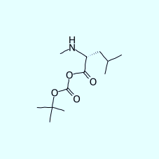 CN[C@H](CC(C)C)C(=O)OC(=O)OC(C)(C)C